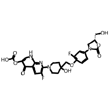 O=C(O)Oc1c[nH]c2nc(N3CCC(O)(COc4ccc(N5C[C@H](CO)OC5=O)cc4F)CC3)c(F)cc2c1=O